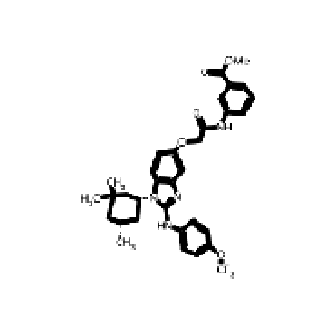 COC(=O)c1cccc(NC(=O)COc2ccc3c(c2)nc(Nc2ccc(OC(F)(F)F)cc2)n3[C@@H]2C[C@H](C)CC(C)(C)C2)c1